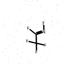 FN=C(F)C(F)(F)F